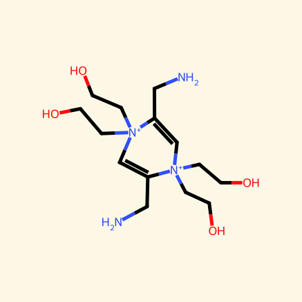 NCC1=C[N+](CCO)(CCO)C(CN)=C[N+]1(CCO)CCO